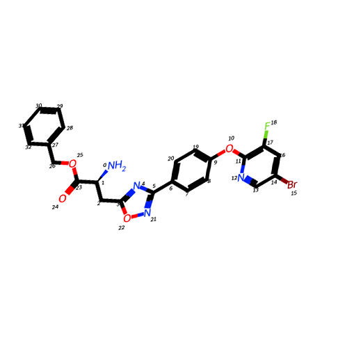 N[C@@H](Cc1nc(-c2ccc(Oc3ncc(Br)cc3F)cc2)no1)C(=O)OCc1ccccc1